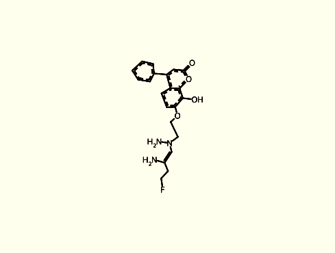 N/C(=C\N(N)CCOc1ccc2c(-c3ccccc3)cc(=O)oc2c1O)CCF